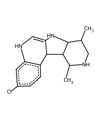 CC1CNC(C)C2C3C(=CNc4cc(Cl)ccc43)NC12